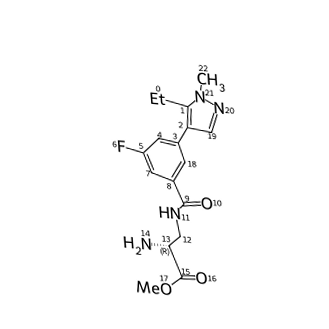 CCc1c(-c2cc(F)cc(C(=O)NC[C@@H](N)C(=O)OC)c2)cnn1C